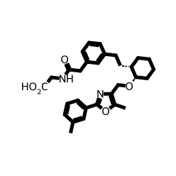 Cc1cccc(-c2nc(CO[C@H]3CCCC[C@H]3CCc3cccc(CC(=O)NCC(=O)O)c3)c(C)o2)c1